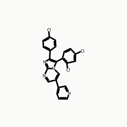 Clc1ccc(-c2nc3ncc(-c4cccnc4)cn3c2-c2ccc(Cl)cc2Cl)cc1